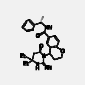 CCC1(CC)CC(=O)N(C2CCOc3ccc(C(=O)N[C@@H](C)c4ccccc4)cc32)C(=N)N1